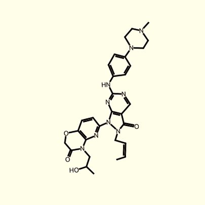 C/C=C\Cn1c(=O)c2cnc(Nc3ccc(N4CCN(C)CC4)cc3)nc2n1-c1ccc2c(n1)N(CC(C)O)C(=O)CO2